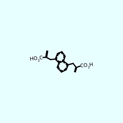 C=C(Cc1cccc2c(CC(=C)C(=O)O)cccc12)C(=O)O